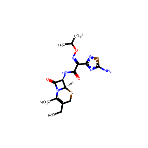 CC(=O)OCC1=C(C(=O)O)N2C(=O)[C@@H](NC(=O)C(=NOC(C)C(=O)O)c3nsc(N)n3)[C@H]2SC1